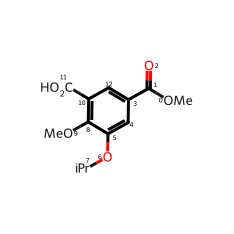 COC(=O)c1cc(OC(C)C)c(OC)c(C(=O)O)c1